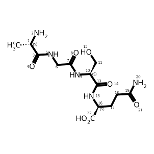 C[C@H](N)C(=O)NCC(=O)N[C@@H](CO)C(=O)N[C@@H](CCC(N)=O)C(=O)O